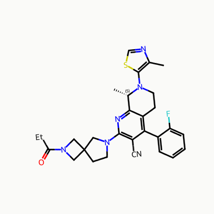 CCC(=O)N1CC2(CCN(c3nc4c(c(-c5ccccc5F)c3C#N)CCN(c3scnc3C)[C@H]4C)C2)C1